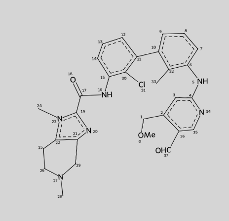 COCc1cc(Nc2cccc(-c3cccc(NC(=O)c4nc5c(n4C)CCN(C)C5)c3Cl)c2C)ncc1C=O